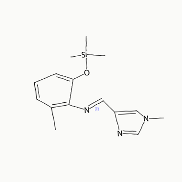 Cc1cccc(O[Si](C)(C)C)c1/N=C/c1cn(C)cn1